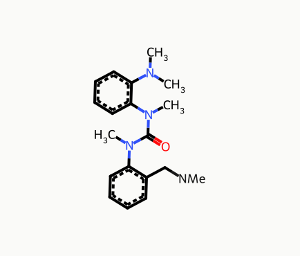 CNCc1ccccc1N(C)C(=O)N(C)c1ccccc1N(C)C